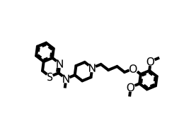 COc1cccc(OC)c1OCCCCN1CCC(N(C)C2=Nc3ccccc3CS2)CC1